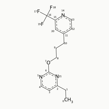 CCc1ccnc(OCCCc2ccnc(C(F)(F)F)c2)n1